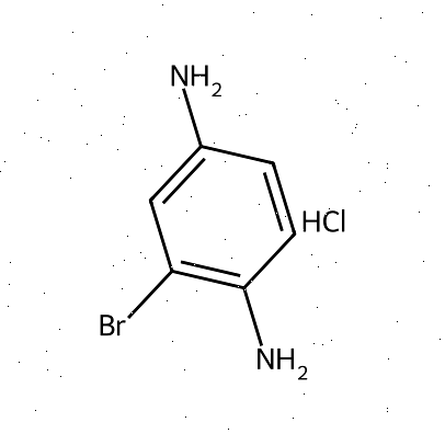 Cl.Nc1ccc(N)c(Br)c1